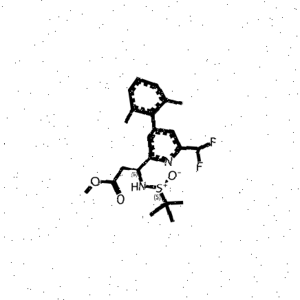 COC(=O)C[C@H](N[S@+]([O-])C(C)(C)C)c1cc(-c2c(C)cccc2C)cc(C(F)F)n1